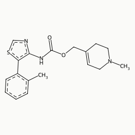 Cc1ccccc1-c1scnc1NC(=O)OCC1=CCN(C)CC1